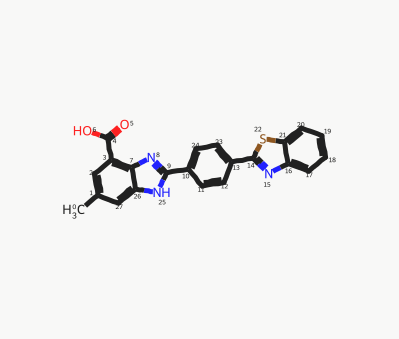 Cc1cc(C(=O)O)c2nc(-c3ccc(-c4nc5ccccc5s4)cc3)[nH]c2c1